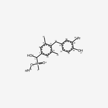 CCCOP(C)(=O)C(O)c1cc(C)c(Cc2ccc(O)c(C(C)C)c2)c(C)c1